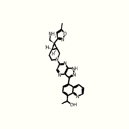 Cc1cc([C@@]2(CN)[C@@H]3CCN(c4cnc5c(-c6ccc(C(C)O)c7ncccc67)n[nH]c5n4)C[C@@H]32)no1